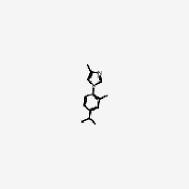 Cc1cn(-c2ccc(C(C)C)cc2C)cn1